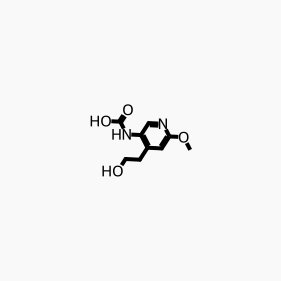 COc1cc(CCO)c(NC(=O)O)cn1